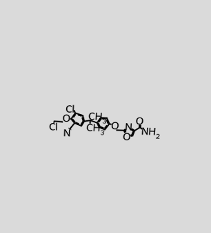 CC(C)(c1ccc(OCc2nc(C(N)=O)co2)cc1)c1cc(Cl)c(OCCCl)c(C#N)c1